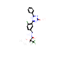 COC(C)(C(=O)NCc1ccc(Cl)c(-c2nc(O)nc(-c3ccccc3)n2)c1)C(F)(F)F